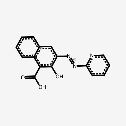 O=C(O)c1c(O)c(/N=N/c2ccccn2)cc2ccccc12